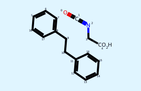 O=C=NCC(=O)O.c1ccc(CCc2ccccc2)cc1